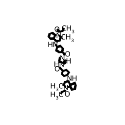 CCC(=O)N1c2ccccc2[C@H](Nc2ccc(C(=O)N3C[C@H]4C[C@@H]3CN4C(=O)C3CCC(N[C@@H]4C[C@H](C)N(C(=O)CC)c5ccccc54)CC3)cc2)C[C@@H]1C